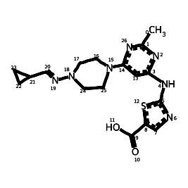 Cc1nc(Nc2ncc(C(=O)O)s2)cc(N2CCN(/N=C/C3CC3)CC2)n1